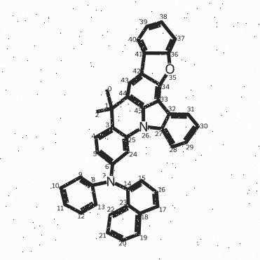 CC1(C)c2ccc(N(c3ccccc3)c3cccc4ccccc34)cc2-n2c3ccccc3c3c4oc5ccccc5c4cc1c32